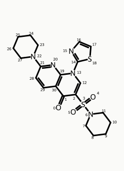 O=c1c(S(=O)(=O)N2CCCCC2)cn(-c2nccs2)c2nc(N3CCCCC3)ccc12